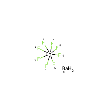 [BaH2].[F][Y]([F])([F])([F])([F])([F])([F])[F]